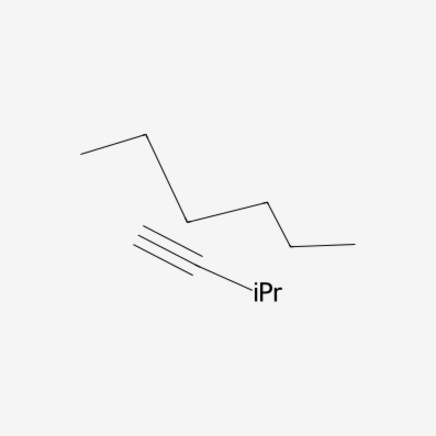 C#CC(C)C.CCCCCC